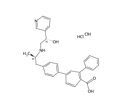 C[C@H](Cc1ccc(-c2ccc(C(=O)O)c(-c3ccccc3)c2)cc1)NC[C@@H](O)c1cccnc1.Cl.Cl